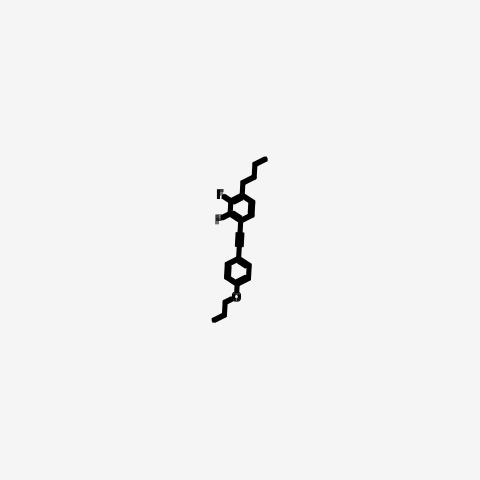 CCCCc1ccc(C#Cc2ccc(OCCC)cc2)c(F)c1F